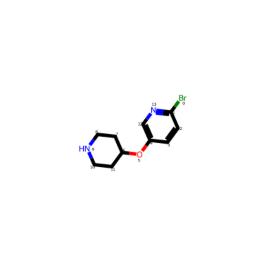 Brc1ccc(OC2CCNCC2)cn1